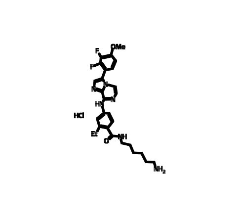 CCc1cc(Nc2nccn3c(-c4ccc(OC)c(F)c4F)cnc23)ccc1C(=O)NCCCCCCN.Cl